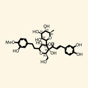 COc1ccc(CCC2O[C@H](CO)[C@](O)(C(=O)C=Cc3ccc(O)c(O)c3)[C@@](O)(C3O[C@H](C)[C@@H](O)[C@H](O)[C@@H]3O)[C@H]2O)cc1O